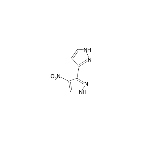 O=[N+]([O-])c1c[nH]nc1-c1cc[nH]n1